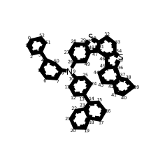 c1ccc(-c2cccc(N(c3ccc(-c4cccc5ccccc45)cc3)c3ccc4sc5ccc6sc7c8ccccc8ccc7c6c5c4c3)c2)cc1